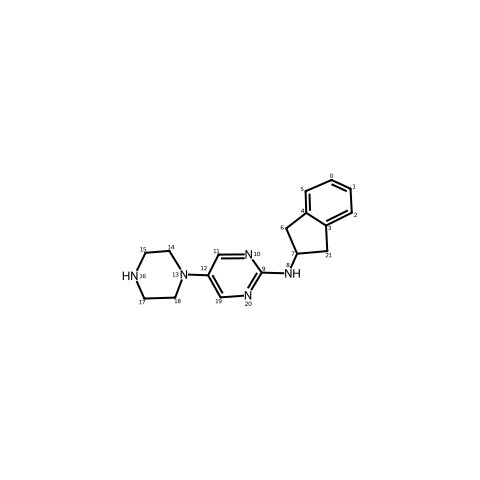 c1ccc2c(c1)CC(Nc1ncc(N3CCNCC3)cn1)C2